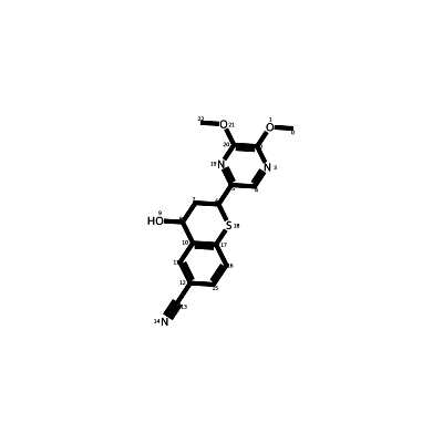 COc1ncc(C2CC(O)c3cc(C#N)ccc3S2)nc1OC